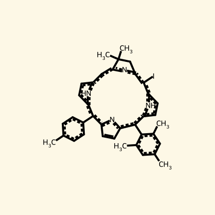 Cc1ccc(-c2c3nc(c(-c4c(C)cc(C)cc4C)c4ccc([nH]4)c(I)c4nc(cc5ccc2[nH]5)C(C)(C)C4)C=C3)cc1